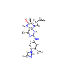 CCc1nc(Nc2ccc(-n3cnc(C)c3)c(OC)c2)nc2c1N(C)C(=O)[C@@H]1C[C@@H](OC)CN21